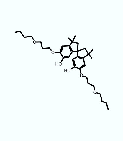 CCCCOCCCOc1cc2c(cc1O)C1(CC2(C)C)CC(C)(C)c2cc(OCCCOCCCC)c(O)cc21